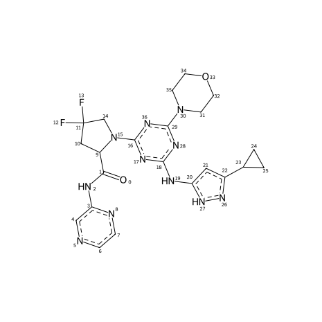 O=C(Nc1cnccn1)C1CC(F)(F)CN1c1nc(Nc2cc(C3CC3)n[nH]2)nc(N2CCOCC2)n1